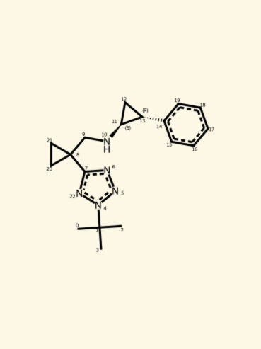 CC(C)(C)n1nnc(C2(CN[C@H]3C[C@@H]3c3ccccc3)CC2)n1